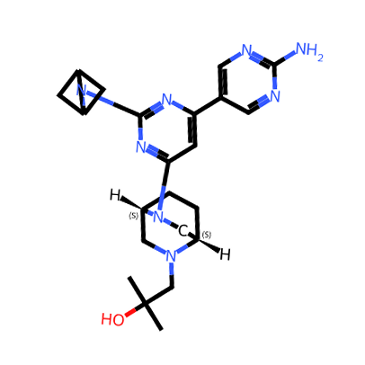 CC(C)(O)CN1C[C@@H]2CC[C@H]1CN2c1cc(-c2cnc(N)nc2)nc(N2CC3CC2C3)n1